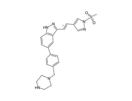 CS(=O)(=O)n1cc(/C=C/c2n[nH]c3ccc(-c4ccc(CN5CCNCC5)cc4)cc23)cn1